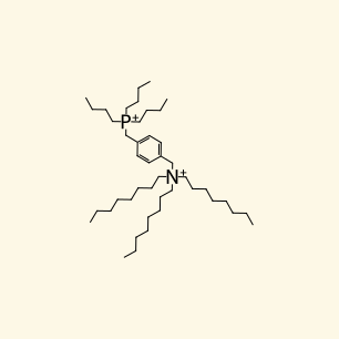 CCCCCCCC[N+](CCCCCCCC)(CCCCCCCC)Cc1ccc(C[P+](CCCC)(CCCC)CCCC)cc1